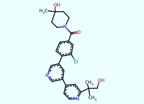 CC1(O)CCN(C(=O)c2ccc(-c3cncc(-c4ccnc(C(C)(C)CO)c4)c3)c(Cl)c2)CC1